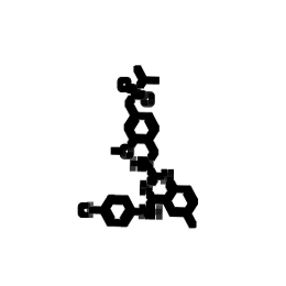 COc1cc(CS(=O)(=O)C(C)C)ccc1CNc1nc(Nc2ccc(Cl)cc2)c2cc(C)ccc2n1